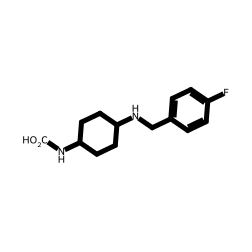 O=C(O)NC1CCC(NCc2ccc(F)cc2)CC1